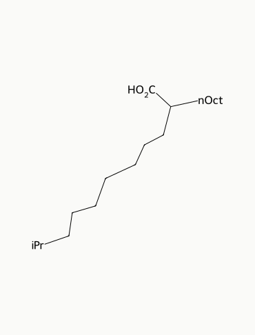 CCCCCCCCC(CCCCCCCC(C)C)C(=O)O